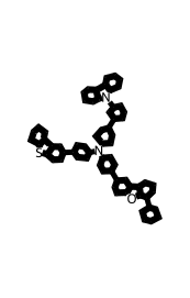 c1ccc(-c2cccc3c2oc2ccc(-c4ccc(N(c5ccc(-c6cccc(-n7c8ccccc8c8ccccc87)c6)cc5)c5ccc(-c6ccc7sc8ccccc8c7c6)cc5)cc4)cc23)cc1